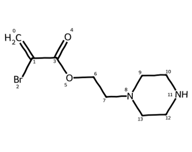 C=C(Br)C(=O)OCCN1CCNCC1